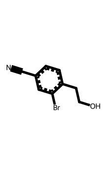 N#Cc1ccc(CCO)c(Br)c1